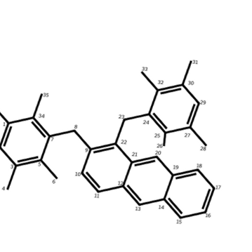 Cc1cc(C)c(C)c(Cc2ccc3cc4ccccc4cc3c2Cc2c(C)c(C)cc(C)c2C)c1C